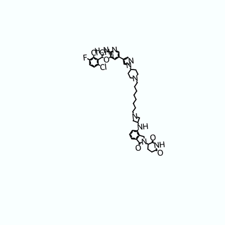 C[C@@H](Oc1cc(-c2cnn(C3CCN(CCCCCCCCN4CC(Nc5cccc6c5CN(C5CCC(=O)NC5=O)C6=O)C4)CC3)c2)cnc1N)c1c(Cl)ccc(F)c1Cl